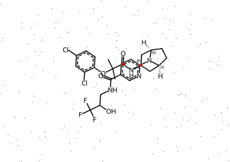 CC(C)(Oc1ccc(Cl)cc1Cl)C(=O)N[C@H]1C[C@H]2CC[C@@H](C1)N2c1ccc(C(=O)NCC(O)C(F)(F)F)cn1